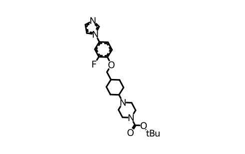 CC(C)(C)OC(=O)N1CCN(C2CCC(COc3ccc(-n4ccnc4)cc3F)CC2)CC1